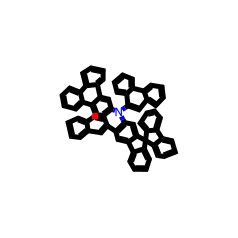 c1ccc2c(c1)-c1ccccc1C21c2ccccc2-c2cc(-c3ccc4ccccc4c3)c(N(c3ccc4c5ccccc5c5ccccc5c4c3)c3cc4ccccc4c4ccccc34)cc21